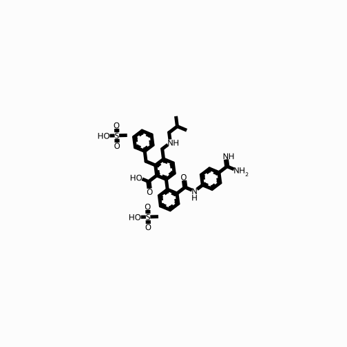 CC(C)CNCc1ccc(-c2ccccc2C(=O)Nc2ccc(C(=N)N)cc2)c(C(=O)O)c1Cc1ccccc1.CS(=O)(=O)O.CS(=O)(=O)O